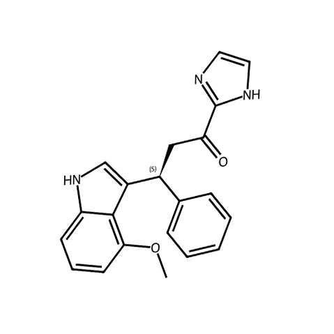 COc1cccc2[nH]cc([C@@H](CC(=O)c3ncc[nH]3)c3ccccc3)c12